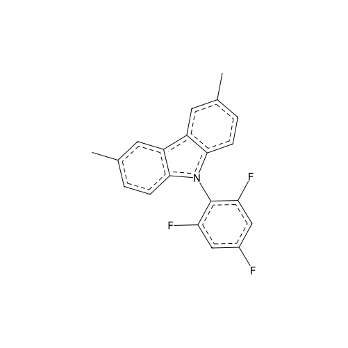 Cc1ccc2c(c1)c1cc(C)ccc1n2-c1c(F)cc(F)cc1F